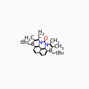 CC1=C(C)N2C(=O)N3C(C)=C(C)B(CC(C)(C)C)c4ccc5ccc(c2c5c43)B1CC(C)(C)C